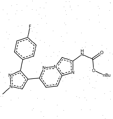 CCCCOC(=O)Nc1cn2nc(-c3cn(C)nc3-c3ccc(F)cc3)ccc2n1